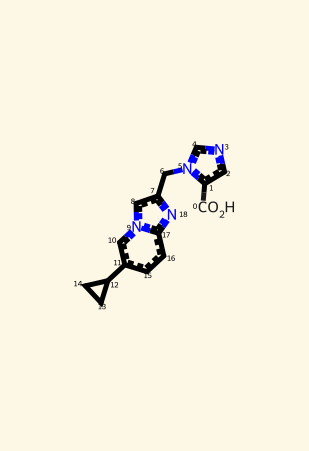 O=C(O)c1cncn1Cc1cn2cc(C3CC3)ccc2n1